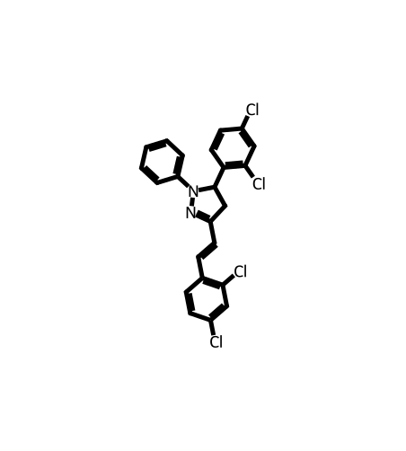 Clc1ccc(C=CC2=NN(c3ccccc3)C(c3ccc(Cl)cc3Cl)C2)c(Cl)c1